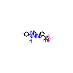 Cc1noc(C)c1-c1cccc2c1ccn2-c1ccnc(NC2CC[CH]CC2)n1